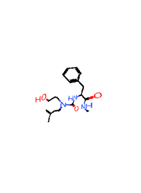 CNC(=O)C(Cc1ccccc1)NC(=O)N(CCO)CC(C)C